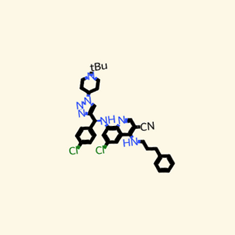 CC(C)(C)N1CCC(n2cc([C@@H](Nc3cc(Cl)cc4c(NCCCc5ccccc5)c(C#N)cnc34)c3ccc(Cl)cc3)nn2)CC1